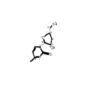 O=c1nc(I)ccn1[C@@H]1O[C@H](CO)C[C@@H]1F